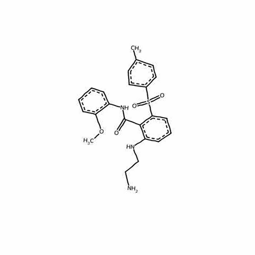 COc1ccccc1NC(=O)c1c(NCCN)cccc1S(=O)(=O)c1ccc(C)cc1